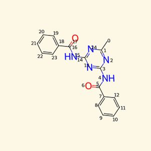 Cc1nc(NC(=O)c2ccccc2)nc(NC(=O)c2ccccc2)n1